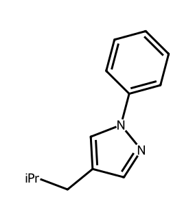 CC(C)Cc1cnn(-c2ccccc2)c1